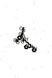 CC(=O)OCCS(=O)(=O)c1ccc([N+](=O)[O-])cc1NC(=O)CCCCCN(Cc1ccccn1)Cc1ccccn1